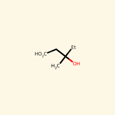 [CH2]C(O)(CC)CC(=O)O